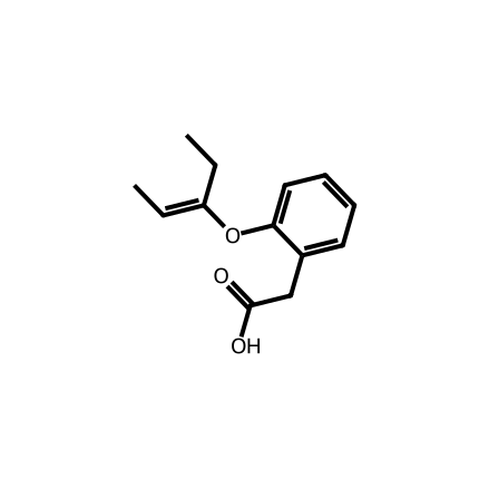 C/C=C(\CC)Oc1ccccc1CC(=O)O